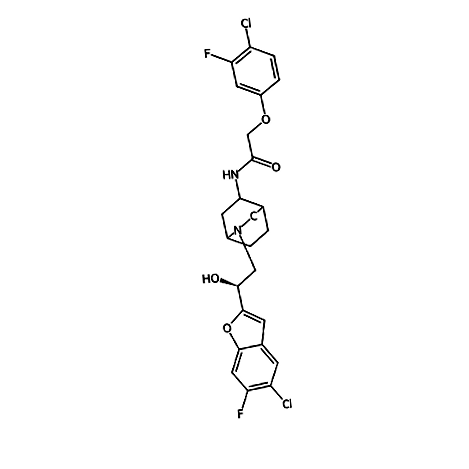 O=C(COc1ccc(Cl)c(F)c1)NC1CC2CCC1CN2C[C@H](O)c1cc2cc(Cl)c(F)cc2o1